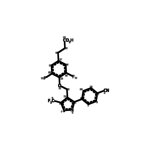 N#Cc1ccc(-c2nsc(C(F)(F)F)c2COc2c(F)cc(CCC(=O)O)cc2F)cc1